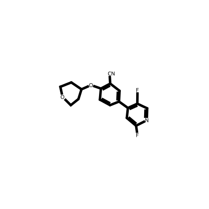 N#Cc1cc(-c2cc(F)ncc2F)ccc1OC1CCOCC1